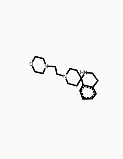 c1ccc2c(c1)CCNC21CCN(CCN2CCOCC2)CC1